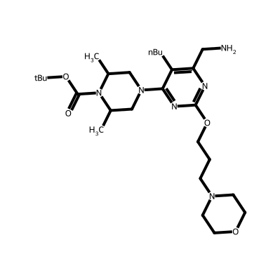 CCCCc1c(CN)nc(OCCCN2CCOCC2)nc1N1CC(C)N(C(=O)OC(C)(C)C)C(C)C1